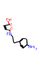 Nc1ccc(CCNC(=O)/C=C\C(=O)O)cc1